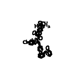 CS(=O)(=O)Nc1ccc2oc(C(=O)N[C@H](C=C3CCN(c4ccccc4CN4CCCCC4=O)CC3)Cc3ccc(Cl)cc3)cc(=O)c2c1